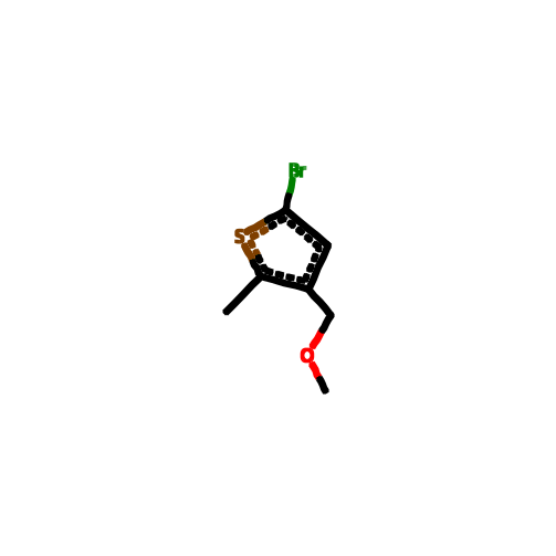 COCc1cc(Br)sc1C